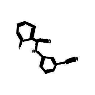 N#Cc1cccc(NC(=O)c2ccccc2I)c1